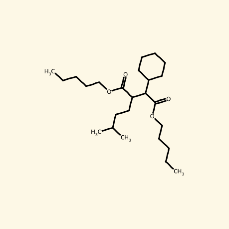 CCCCCOC(=O)C(CCC(C)C)C(C(=O)OCCCCC)C1CCCCC1